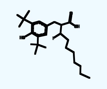 CCCCCCCC(I)C(Cc1cc(C(C)(C)C)c(O)c(C(C)(C)C)c1)C(=O)O